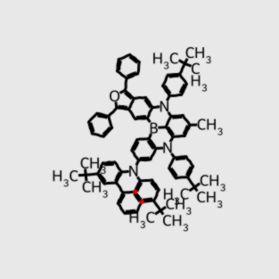 Cc1cc2c3c(c1)N(c1ccc(C(C)(C)C)cc1)c1cc4c(-c5ccccc5)oc(-c5ccccc5)c4cc1B3c1ccc(N(c3ccc(C(C)(C)C)cc3)c3ccc(C(C)(C)C)cc3-c3ccccc3)cc1N2c1ccc(C(C)(C)C)cc1